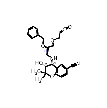 CC1(C)Oc2ccc(C#N)cc2[C@H](N/C=C(\COCC=C=O)OCc2ccccc2)[C@H]1O